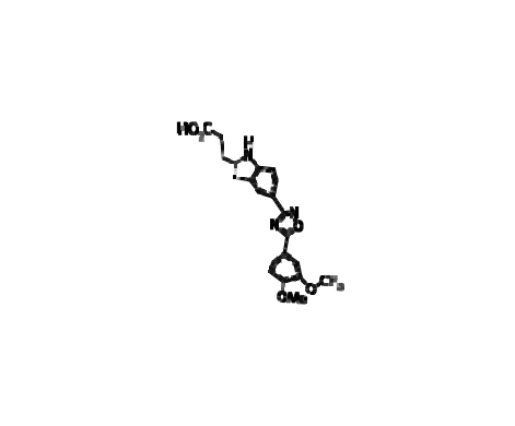 COc1ccc(-c2nc(-c3ccc4c(c3)CC(CCC(=O)O)N4)no2)cc1OC(F)(F)F